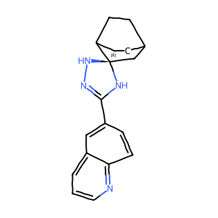 c1cnc2ccc(C3=NN[C@@]4(CC5CCC4CC5)N3)cc2c1